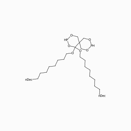 CCCCCCCCCCCCCCCCCCOC1(OCCCCCCCCCCCCCCCCCC)OPOCC12COPOC2